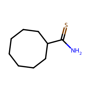 NC(=S)C1CCCCCCC1